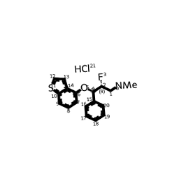 CNC[C@@H](F)[C@H](Oc1cccc2sccc12)c1ccccc1.Cl